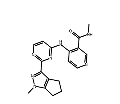 CNC(=O)c1cnccc1Nc1ccnc(-c2nn(C)c3c2CCC3)n1